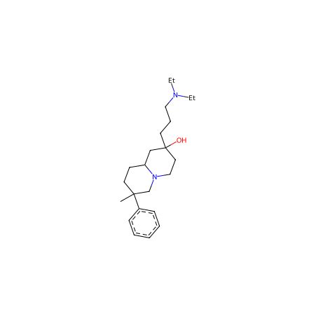 CCN(CC)CCCC1(O)CCN2CC(C)(c3ccccc3)CCC2C1